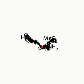 COc1ccc(F)cc1C(=O)NCc1ccc(-c2nn(C3CCN(C(=O)CCCCCN4CCN(c5ccc6c(c5)CN([C@H]5CCC(=O)NC5=O)C6=O)CC4)C3)c3ncnc(N)c23)cc1